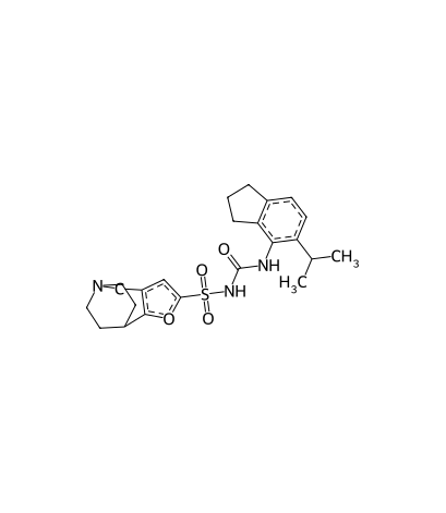 CC(C)c1ccc2c(c1NC(=O)NS(=O)(=O)c1cc3c(o1)C1CCN(CC1)C3)CCC2